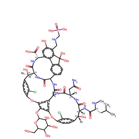 CN[C@H](CC(C)C)C(=O)N[C@H]1C(=O)N[C@@H](CC(N)=O)C(=O)N[C@H]2C(=O)NC3C(=O)N[C@H](C(=O)N[C@H](C(=O)O)c4cc(O)c(CNCP(=O)(O)O)c5c4-c4cc3ccc4C5(O)O)[C@H](O)c3ccc(c(Cl)c3)Oc3cc2cc(c3OC2OC(CO)C(O)C(O)C2O)Oc2ccc(cc2Cl)[C@H]1O